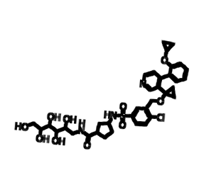 O=C(NCC(O)C(O)C(O)C(O)CO)C1CCC(NS(=O)(=O)c2ccc(Cl)c(COC3(c4cnccc4-c4ccccc4OC4CC4)CC3)c2)C1